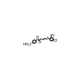 CC(C)c1cc(Cl)ccc1SCCCCC(=O)Nc1ccc(C(=O)O)cc1